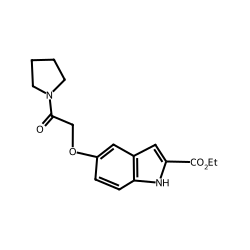 CCOC(=O)c1cc2cc(OCC(=O)N3CCCC3)ccc2[nH]1